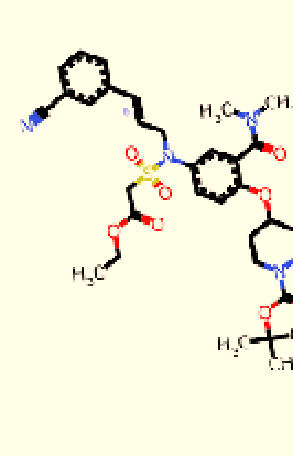 CCOC(=O)CS(=O)(=O)N(C/C=C/c1cccc(C#N)c1)c1ccc(OC2CCN(C(=O)OC(C)(C)C)CC2)c(C(=O)N(C)C)c1